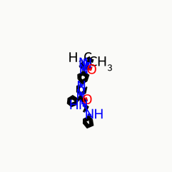 CC(C)n1ncn(-c2ccc(N3CCN(C(C(=O)NCCNc4ccccc4)c4ccccc4)CC3)cc2)c1=O